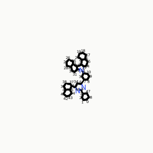 c1ccc(-c2nc(-c3cccc(-n4c5ccc6ccccc6c5c5c6ccccc6ccc54)c3)cc(-c3cccc4ccccc34)n2)cc1